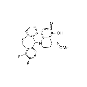 CO/N=C1\CCN(C2c3ccccc3SCc3c2ccc(F)c3F)n2ccc(=O)c(O)c21